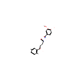 CCOc1ccc(-c2nc(CCC(=O)c3cc(C)ccc3C)co2)cc1OCC